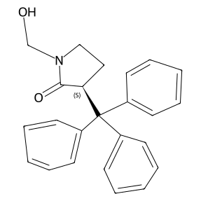 O=C1[C@H](C(c2ccccc2)(c2ccccc2)c2ccccc2)CCN1CO